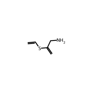 C=CSC(=C)CN